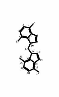 Cc1ccc(C)c2c1C=CC2CC1C=Cc2c(C)ccc(C)c21